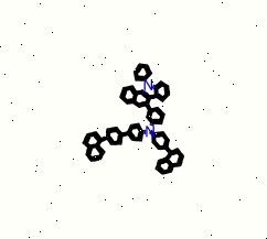 C1=C(c2cccc3ccccc23)CCC(N(c2ccc(-c3ccc(-c4cccc5ccccc45)cc3)cc2)c2cccc(-c3cc4ccccc4c4c3c3ccccc3n4-c3ccccc3)c2)=C1